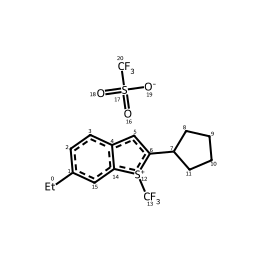 CCc1ccc2cc(C3CCCC3)[s+](C(F)(F)F)c2c1.O=S(=O)([O-])C(F)(F)F